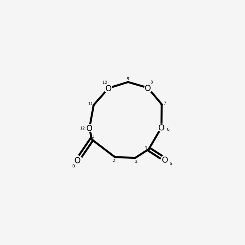 O=C1CCC(=O)OCOCOCO1